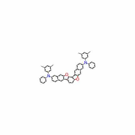 Cc1cc(C)cc(N(c2ccccc2)c2ccc3cc4c(cc3c2)oc2c4ccc3oc4cc5cc(N(c6ccccc6)c6cc(C)cc(C)c6)ccc5cc4c32)c1